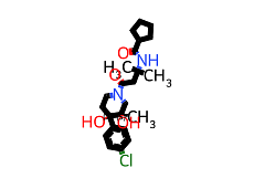 CC(C)(CC(=O)N1CC[C@](O)(c2ccc(Cl)cc2)[C@@](C)(O)C1)NC(=O)C1CCCC1